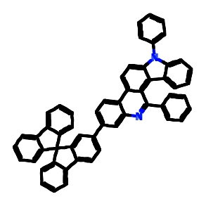 c1ccc(-c2nc3cc(-c4ccc5c(c4)C4(c6ccccc6-c6ccccc64)c4ccccc4-5)ccc3c3ccc4c(c5ccccc5n4-c4ccccc4)c23)cc1